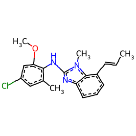 C/C=C/c1cccc2nc(Nc3c(C)cc(Cl)cc3OC)n(C)c12